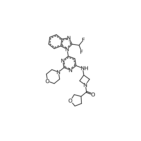 O=C(C1CCOC1)N1CC(Nc2cc(-n3c(C(F)F)nc4ccccc43)nc(N3CCOCC3)n2)C1